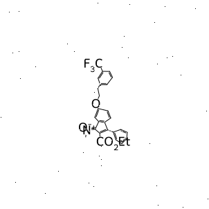 CCOC(=O)C1=C(c2ccccc2)c2ccc(OCCc3cccc(C(F)(F)F)c3)cc2/C1=[N+](/C)[O-]